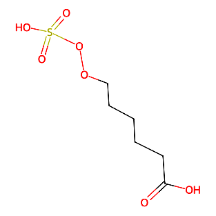 O=C(O)CCCCCOOS(=O)(=O)O